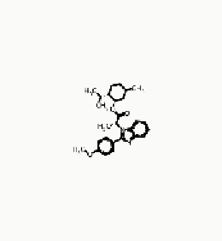 COc1ccc(-c2nc3ccccc3n2[C@H](C)C(=O)O[C@@H]2CC(C)CC[C@H]2C(C)C)cc1